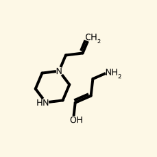 C=CCN1CCNCC1.NCC=CO